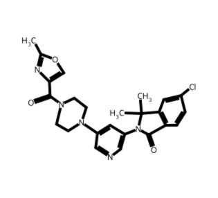 Cc1nc(C(=O)N2CCN(c3cncc(N4C(=O)c5ccc(Cl)cc5C4(C)C)c3)CC2)co1